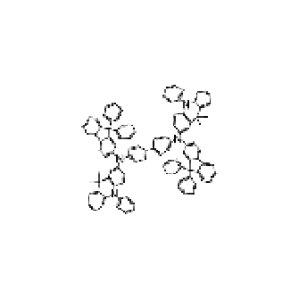 CC1(C)c2ccccc2N(c2ccccc2)c2ccc(N(c3ccc(-c4ccc(N(c5ccc6c(c5)C(C)(C)c5ccccc5N6c5ccccc5)c5ccc6c(c5)C(c5ccccc5)(c5ccccc5)c5ccccc5-6)cc4)cc3)c3ccc4c(c3)C(c3ccccc3)(c3ccccc3)c3ccccc3-4)cc21